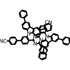 N#Cc1ccc(-c2ccc(-c3nc(-c4ccccc4)nc(-c4ccc(C#N)cc4-n4c5ccc(-c6ccccc6)cc5c5cc(-c6ccccc6)ccc54)n3)c(-n3c4ccc(-c5ccccc5)cc4c4cc(-c5ccccc5)ccc43)c2)cc1